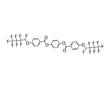 O=C(Oc1ccc(OC(=O)c2ccc(OC(F)C(F)(F)C(F)(F)C(F)(F)F)cc2)cc1)c1ccc(OC(F)C(F)(F)C(F)(F)C(F)(F)F)cc1